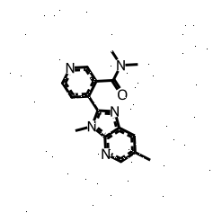 Cc1cnc2c(c1)nc(-c1ccncc1C(=O)N(C)C)n2C